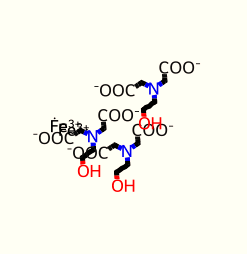 O=C([O-])CN(CCO)CC(=O)[O-].O=C([O-])CN(CCO)CC(=O)[O-].O=C([O-])CN(CCO)CC(=O)[O-].[Fe+3].[Fe+3]